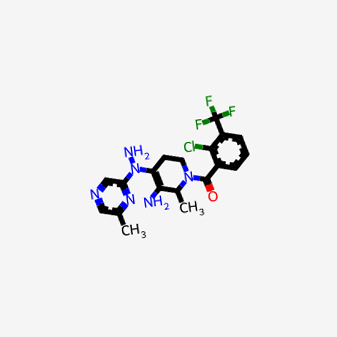 Cc1cncc(N(N)C2=C(N)C(C)N(C(=O)c3cccc(C(F)(F)F)c3Cl)CC2)n1